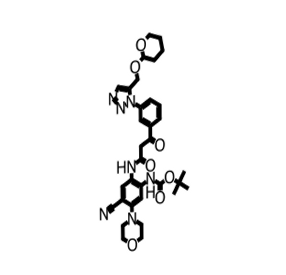 CC(C)(C)OC(=O)Nc1cc(N2CCOCC2)c(C#N)cc1NC(=O)CC(=O)c1cccc(-n2nncc2COC2CCCCO2)c1